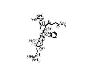 C[C@@H](CCC(N)=O)C(=O)N[C@@H](CCCNC(=N)N)C(=O)N[C@@H](Cc1ccccc1)C(=O)N[C@@H](CO)C(=O)N[C@@H](CCCNC(=N)N)C(=O)O